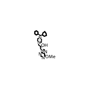 COc1ncnc2c1ncn2C[C@@H](O)CN1CCN(C(c2ccccc2)c2ccccc2)CC1